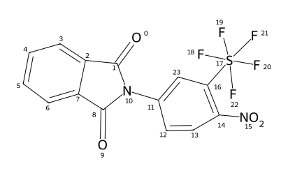 O=C1c2ccccc2C(=O)N1c1ccc([N+](=O)[O-])c(S(F)(F)(F)(F)F)c1